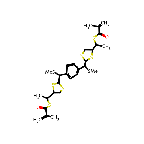 C=C(C)C(=O)SC(C)C1CSC(C(SC)c2ccc(C(SC)C3SCC(C(C)SC(=O)C(=C)C)S3)cc2)S1